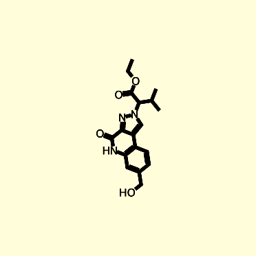 CCOC(=O)C(C(C)C)n1cc2c(n1)c(=O)[nH]c1cc(CO)ccc12